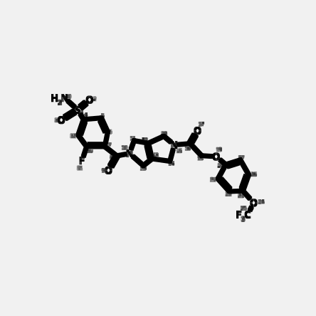 NS(=O)(=O)c1ccc(C(=O)N2CC3=C(CN(C(=O)COc4ccc(OC(F)(F)F)cc4)C3)C2)c(F)c1